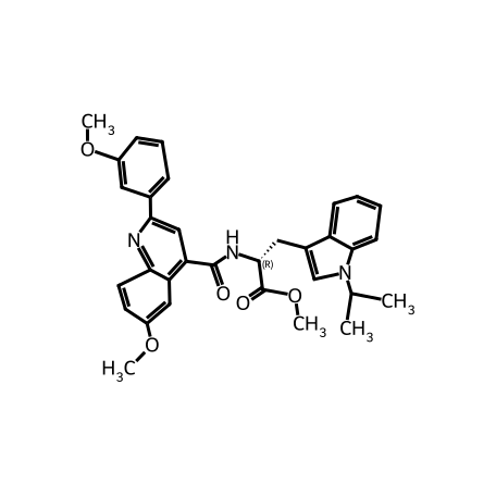 COC(=O)[C@@H](Cc1cn(C(C)C)c2ccccc12)NC(=O)c1cc(-c2cccc(OC)c2)nc2ccc(OC)cc12